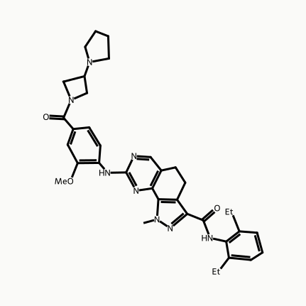 CCc1cccc(CC)c1NC(=O)c1nn(C)c2c1CCc1cnc(Nc3ccc(C(=O)N4CC(N5CCCC5)C4)cc3OC)nc1-2